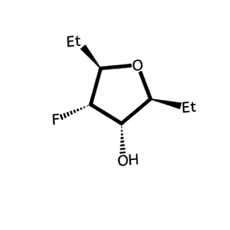 CC[C@@H]1O[C@H](CC)[C@@H](F)[C@H]1O